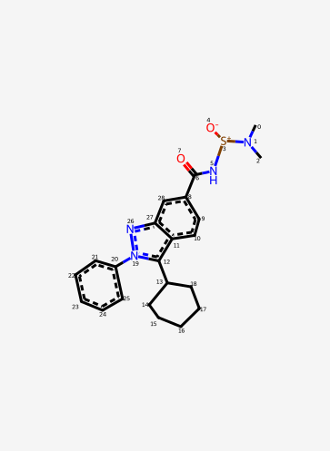 CN(C)[S+]([O-])NC(=O)c1ccc2c(C3CCCCC3)n(-c3ccccc3)nc2c1